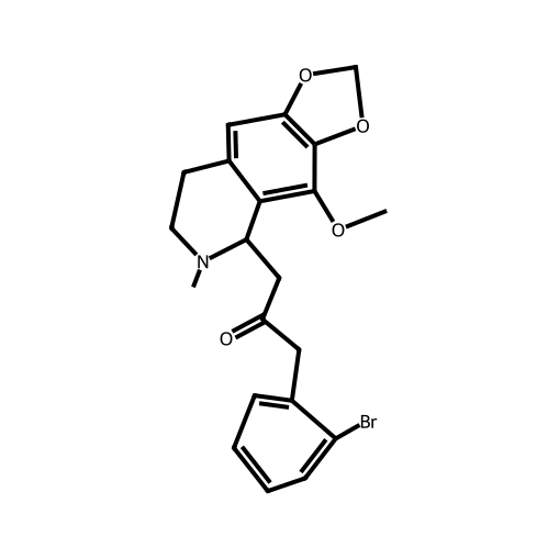 COc1c2c(cc3c1C(CC(=O)Cc1ccccc1Br)N(C)CC3)OCO2